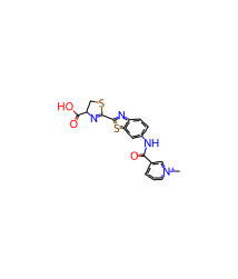 C[n+]1cccc(C(=O)Nc2ccc3nc(C4=NC(C(=O)O)CS4)sc3c2)c1